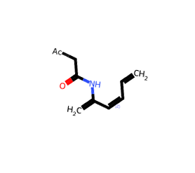 C=C/C=C\C(=C)NC(=O)CC(C)=O